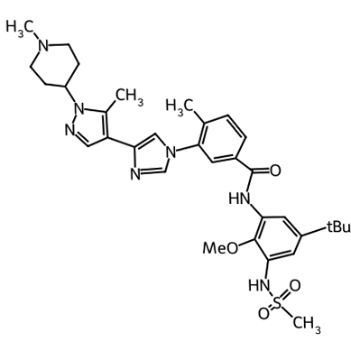 COc1c(NC(=O)c2ccc(C)c(-n3cnc(-c4cnn(C5CCN(C)CC5)c4C)c3)c2)cc(C(C)(C)C)cc1NS(C)(=O)=O